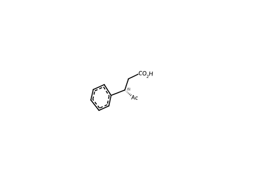 CC(=O)[C@@H](CC(=O)O)c1ccccc1